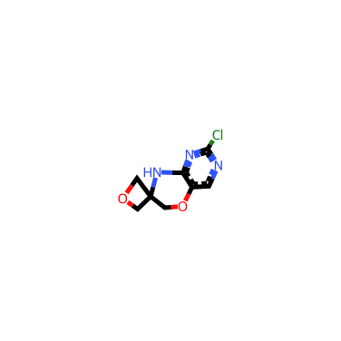 Clc1ncc2c(n1)NC1(COC1)CO2